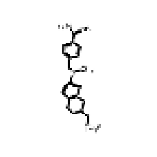 CN(Cc1ccc(C(=N)N)cc1)c1ccc2c(c1)CC(CC(=O)O)CC2